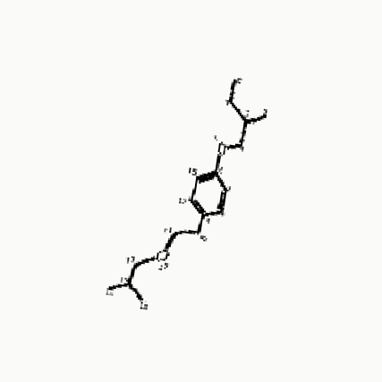 CCC(C)COc1ccc(CCOCC(C)C)cc1